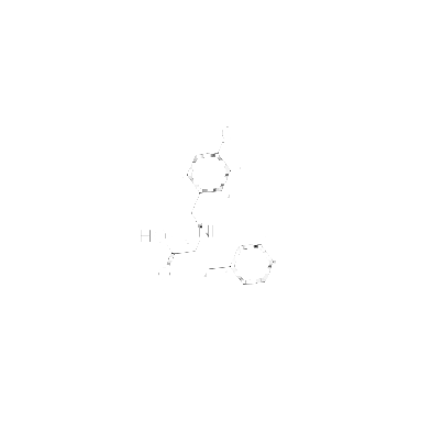 O=C(O)[C@@H](Cc1ccccc1)NCc1ccc(Cl)cc1